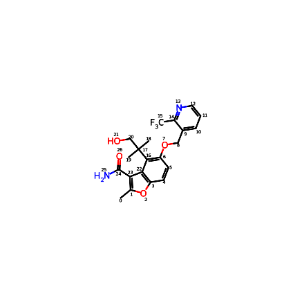 Cc1oc2ccc(OCc3cccnc3C(F)(F)F)c(C(C)(C)CO)c2c1C(N)=O